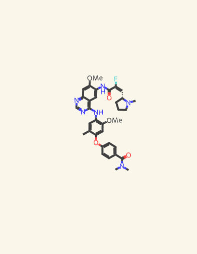 COc1cc2ncnc(Nc3cc(C)c(Oc4ccc(C(=O)N(C)C)cc4)cc3OC)c2cc1NC(=O)/C(F)=C\[C@H]1CCCN1C